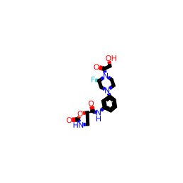 O=C1NC[C@H](C(=O)Nc2cccc(N3CCN(C(=O)CO)C(F)C3)c2)O1